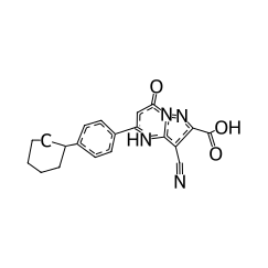 N#Cc1c(C(=O)O)nn2c(=O)cc(-c3ccc(C4CCCCC4)cc3)[nH]c12